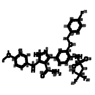 COc1ccc(Nc2[nH]nc(-c3ccc(NS(=O)(=O)CC(F)(F)F)c(OCc4ccc(F)cc4)c3)c2C(N)=O)cn1